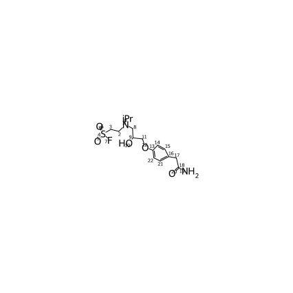 CC(C)N(CCS(=O)(=O)F)CC(O)COc1ccc(CC(N)=O)cc1